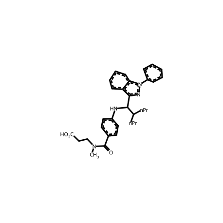 CCCC(CCC)C(Nc1ccc(C(=O)N(C)CCC(=O)O)cc1)c1nn(-c2ccccc2)c2ccccc12